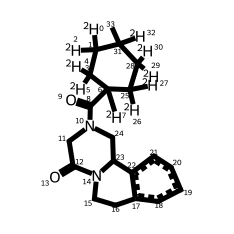 [2H]C1([2H])C([2H])([2H])C([2H])(C(=O)N2CC(=O)N3CCc4ccccc4C3C2)C([2H])([2H])C([2H])([2H])C1([2H])C